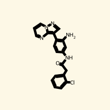 Nc1cc(NC(=O)Cc2ccccc2Cl)ccc1-c1cnn2cccnc12